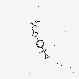 COS(=O)(=O)CC1CN(c2ccc(S(=O)(=O)C3CC3)cc2)C1